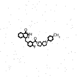 Cc1ccc(N2CCC3(CCN(C(=O)c4cc(Cc5n[nH]c(=O)c6ccccc56)ccc4F)C3)C2)cc1